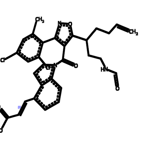 C=CCCC(CCNC=O)c1onc(-c2c(C)cc(Cl)cc2C)c1C(=O)n1ccc2c(/C=C/C(=O)O)cccc21